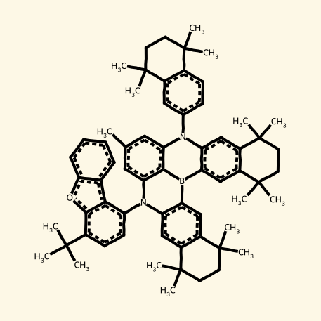 Cc1cc2c3c(c1)N(c1ccc(C(C)(C)C)c4oc5ccccc5c14)c1cc4c(cc1B3c1cc3c(cc1N2c1ccc2c(c1)C(C)(C)CCC2(C)C)C(C)(C)CCC3(C)C)C(C)(C)CCC4(C)C